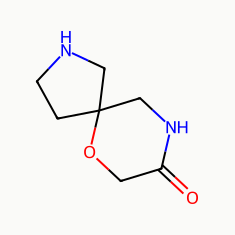 O=C1COC2(CCNC2)CN1